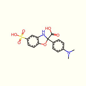 CN(C)c1ccc(C2(C(=O)O)Nc3cc(S(=O)(=O)O)ccc3O2)cc1